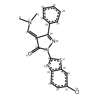 CN(C)/C=C1/C(=O)N(c2nc3ccc(Cl)cc3s2)N=C1c1ccccc1